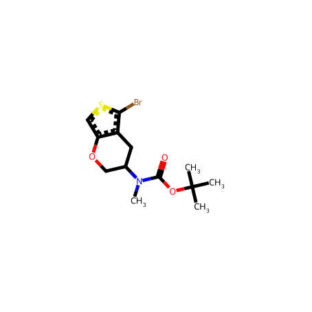 CN(C(=O)OC(C)(C)C)C1COc2csc(Br)c2C1